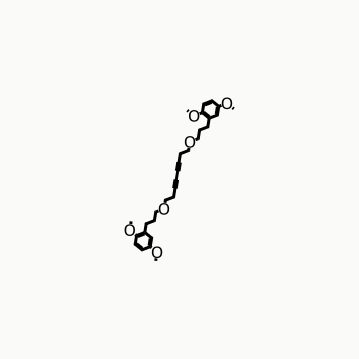 COc1ccc(OC)c(CCCOCCC#CC#CCCOCCCc2cc(OC)ccc2OC)c1